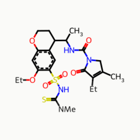 CCOc1cc2c(cc1S(=O)(=O)NC(=S)NC)C(C(C)NC(=O)N1CC(C)=C(CC)C1=O)CCO2